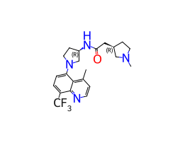 Cc1ccnc2c(C(F)(F)F)ccc(N3CC[C@@H](NC(=O)C[C@H]4CCN(C)C4)C3)c12